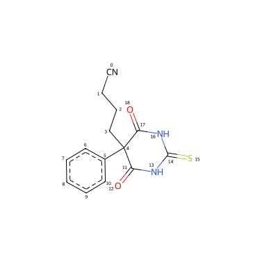 N#CCCCC1(c2ccccc2)C(=O)NC(=S)NC1=O